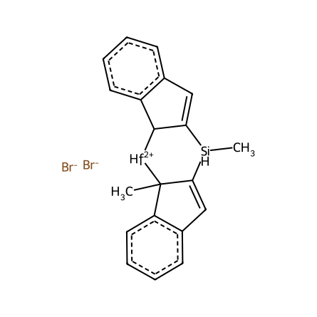 C[SiH]1C2=Cc3ccccc3[CH]2[Hf+2][C]2(C)C1=Cc1ccccc12.[Br-].[Br-]